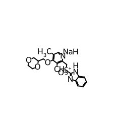 Cc1cnc(C[S+]([O-])c2nc3ccccc3[nH]2)c(C)c1OCC1COCCO1.[NaH]